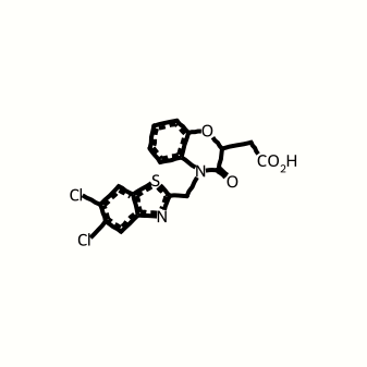 O=C(O)CC1Oc2ccccc2N(Cc2nc3cc(Cl)c(Cl)cc3s2)C1=O